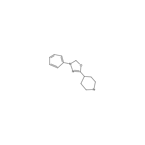 c1ccc(N2COC(C3CC[N]CC3)=N2)cc1